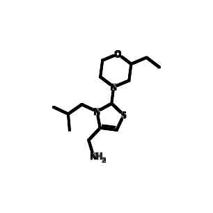 CCC1CN(C2SC=C(CN)N2CC(C)C)CCO1